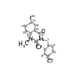 Cn1c(=O)n(Cc2ccc(Cl)cc2)c(=O)c2cc(I)ccc21